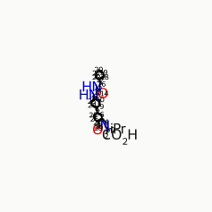 CC(C)[C@@H](C(=O)O)N1Cc2cc(-c3ccc(NC(=O)NCc4ccccc4)cc3)ccc2C1=O